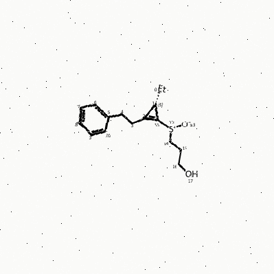 CC[C@H]1C(CCc2ccccc2)=C1[S+]([O-])CCCO